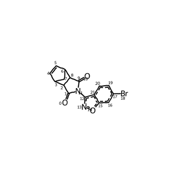 O=C1C2C3C=CC(C3)C2C(=O)N1c1noc2cc(Br)ccc12